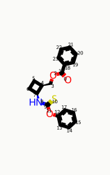 O=C(OC[C@@H]1CC[C@@H]1NC(=S)Oc1ccccc1)c1ccccc1